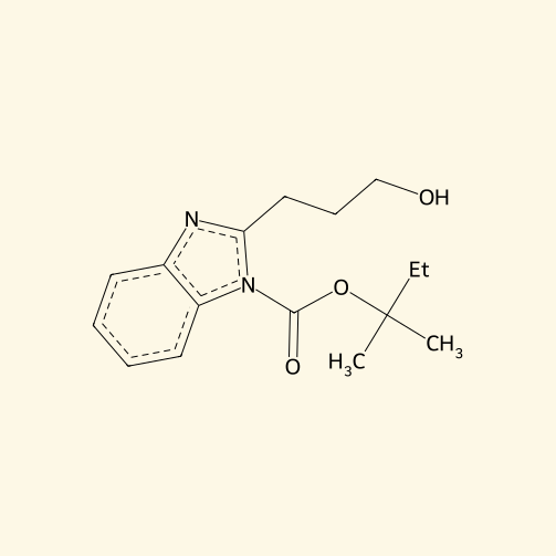 CCC(C)(C)OC(=O)n1c(CCCO)nc2ccccc21